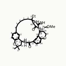 CCC12CCCCCc3ccc4c(c3)[C@H](CC(C)(C)O4)NC(=O)c3ccc4c(c3)[C@@H]([C@H](COC)CO4)N(C(=N)N1)C(=O)C2